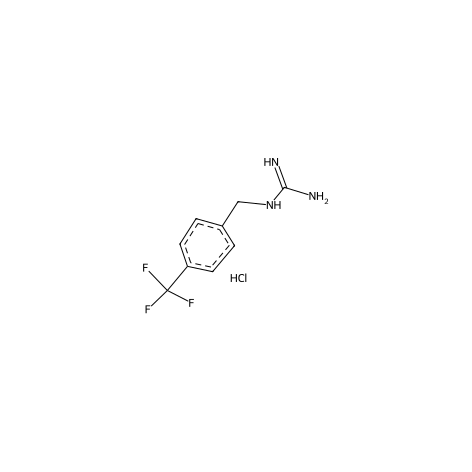 Cl.N=C(N)NCc1ccc(C(F)(F)F)cc1